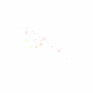 CCCC1CCC(C2CCC(OC(=O)c3ccc(OCC)c(F)c3C(F)F)CC2)OC1